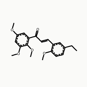 CCc1ccc(OC)c(/C=C/C(=O)c2cc(OC)cc(OC)c2OC)c1